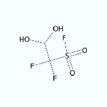 O=S(=O)(F)C(F)(F)C(O)O